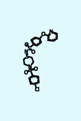 O=S(=O)(N=S1CCN(S(=O)(=O)c2ccc(Cl)cc2)CC1)c1ccc(Oc2ccccn2)cc1